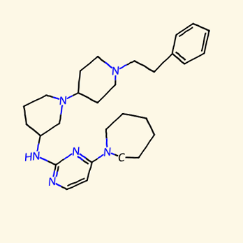 c1ccc(CCN2CCC(N3CCCC(Nc4nccc(N5CCCCCC5)n4)C3)CC2)cc1